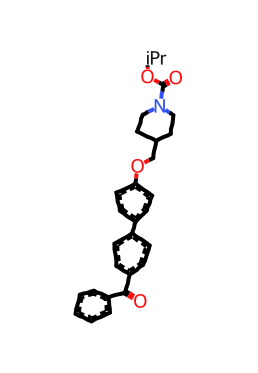 CC(C)OC(=O)N1CCC(COc2ccc(-c3ccc(C(=O)c4ccccc4)cc3)cc2)CC1